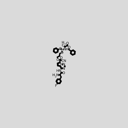 CC(NP(OCC1COC(C#N)(c2ccc3c(NC(=O)C(N)Cc4ccc(F)cc4)ncnn23)O1)Oc1ccccc1)C(=O)OCc1ccccc1